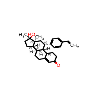 C=Cc1ccc([C@H]2C[C@@]3(C)[C@@H](CC[C@]3(C)O)[C@@H]3CCC4=CC(=O)CC[C@@H]4[C@H]32)cc1